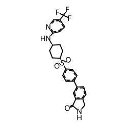 O=C1NCc2ccc(-c3ccc(S(=O)(=O)[C@H]4CC[C@H](Nc5ccc(C(F)(F)F)cn5)CC4)cc3)cc21